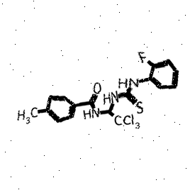 Cc1ccc(C(=O)NC(NC(=S)Nc2ccccc2F)C(Cl)(Cl)Cl)cc1